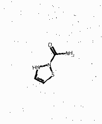 NC(=O)N1NC=[C]S1